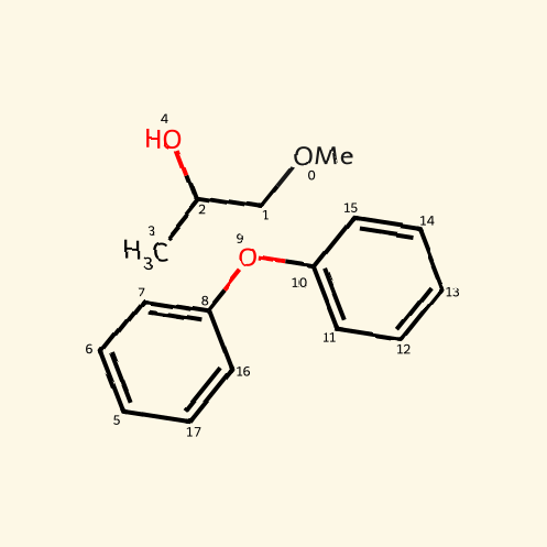 COCC(C)O.c1ccc(Oc2ccccc2)cc1